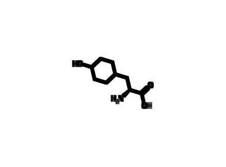 N[C@@H](CC1CCC(O)CC1)C(=O)O